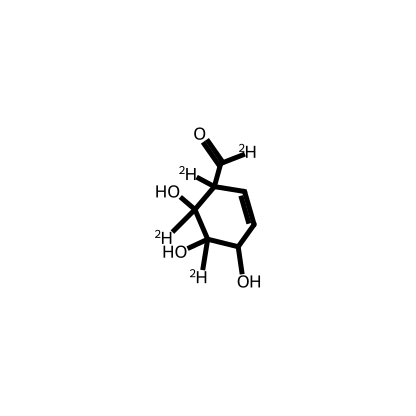 [2H]C(=O)C1([2H])C=CC(O)C([2H])(O)C1([2H])O